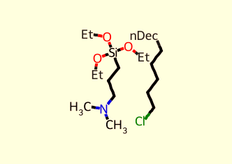 CCCCCCCCCCCCCCCCl.CCO[Si](CCCN(C)C)(OCC)OCC